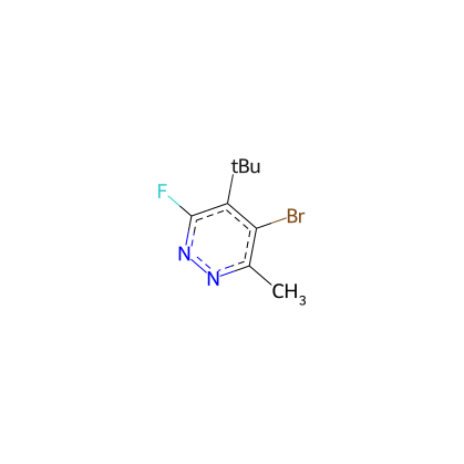 Cc1nnc(F)c(C(C)(C)C)c1Br